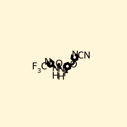 N#Cc1cc(Oc2ccc(NC(=O)Nc3ccnc(C(F)(F)F)c3)c(F)c2)ccn1